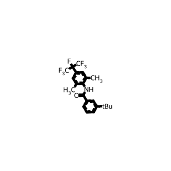 Cc1cc(C(F)(C(F)(F)F)C(F)(F)F)cc(C)c1NC(=O)c1cccc(C(C)(C)C)c1